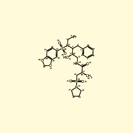 CC(C)CN(C(Cc1ccccc1)[C@H](O)CNC(=O)[C@@H](C)CS(=O)(=O)N1CCCC1)S(=O)(=O)c1ccc2c(c1)OCO2